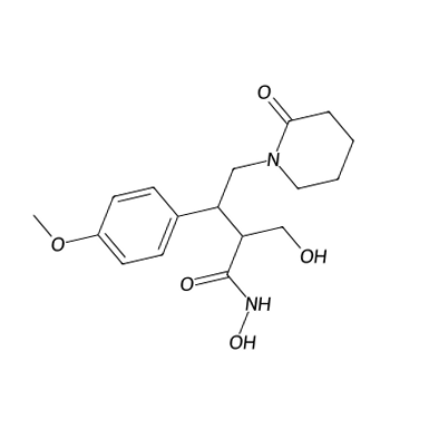 COc1ccc(C(CN2CCCCC2=O)C(CO)C(=O)NO)cc1